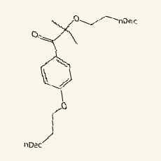 CCCCCCCCCCCCOc1ccc(C(=O)C(C)(C)OCCCCCCCCCCCC)cc1